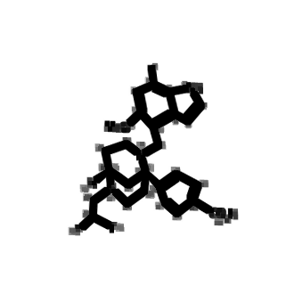 COc1cc(C)c2[nH]ccc2c1CN1CC[C@@H]2C[C@@]1(c1ccc(C(=O)O)cc1)CCN2CC(F)F